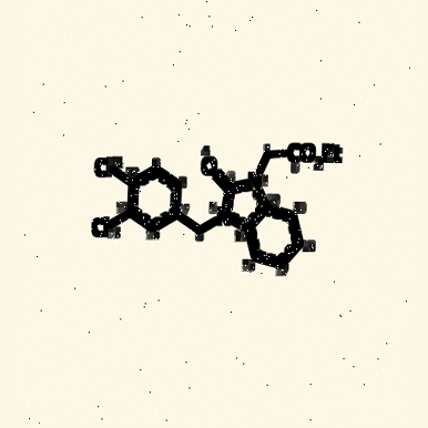 CCOC(=O)Cn1c(=O)n(Cc2ccc(Cl)c(Cl)c2)c2ccccc21